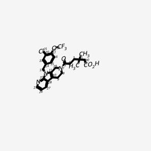 CC(C)(CCC(=O)N1CCc2c(n(Cc3ccc(OC(F)(F)F)c(Cl)c3)c3ncccc23)C1)CC(=O)O